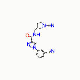 N#Cc1cccc(-n2cnc(C(=O)NCC3CCN(C#N)C3)c2)c1